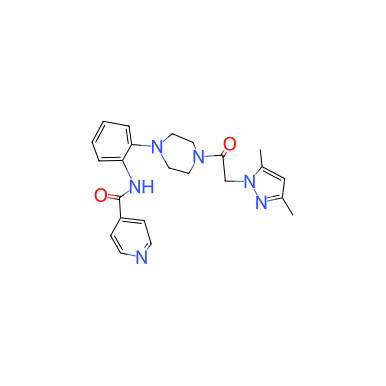 Cc1cc(C)n(CC(=O)N2CCN(c3ccccc3NC(=O)c3ccncc3)CC2)n1